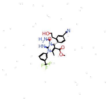 COC(=O)C1=C(C)N(c2cccc(C(F)(F)F)c2)C(=N)N(C(N)=O)[C@@H]1c1ccc(C#N)cc1CCO